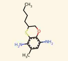 CCCCC1COc2c(N)cc(C)c(N)c2S1